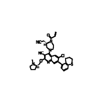 C=CC(=O)N1CCN(c2c(C#N)c(OC[C@@H]3CCCN3C)nc3cc(-c4cccc5c4CCCS5)c(Cl)cc23)C[C@@H]1CC#N